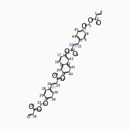 C=CC(=O)OCOc1ccc(/C=C/C(=O)Oc2ccc3cc(OC(=O)/C=C/c4ccc(OCOC(=O)C=C)cc4)ccc3c2)cc1